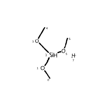 CO[SiH](OC)OC.[H]